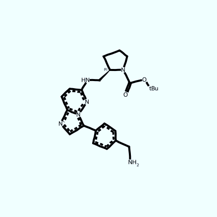 CC(C)(C)OC(=O)N1CCC[C@@H]1CNc1ccc2ncc(-c3ccc(CN)cc3)n2n1